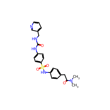 CN(C)C(=O)Cc1ccc(NS(=O)(=O)c2ccc(NC(=O)NCc3cccnc3)cc2)cc1